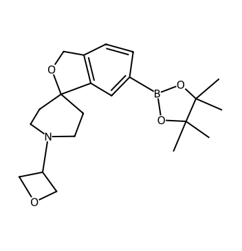 CC1(C)OB(c2ccc3c(c2)C2(CCN(C4COC4)CC2)OC3)OC1(C)C